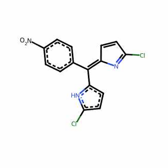 O=[N+]([O-])c1ccc(/C(=C2\C=CC(Cl)=N2)c2ccc(Cl)[nH]2)cc1